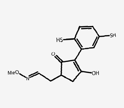 CON=CCC1CC(O)=C(c2cc(S)ccc2S)C1=O